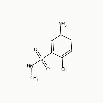 CNS(=O)(=O)C1=CC(N)CC=C1C